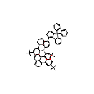 CC(C)(C)c1cc(-c2cccc3cccc(-c4ccccc4N(c4ccc(-c5cccc6c5-c5ccccc5C6(c5ccccc5)c5ccccc5)cc4)c4ccc(C(C)(C)C)cc4-c4ccccc4)c23)cc(C(C)(C)C)c1